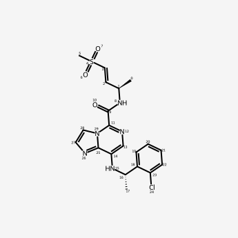 C[C@H](/C=C/S(C)(=O)=O)NC(=O)c1ncc(N[C@@H](C)c2ccccc2Cl)c2nccn12